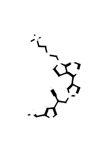 C[Si](C)(C)CCOCn1ccc2c(-c3cnn(CC(C#N)c4csc(C=NO)c4)c3)ncnc21